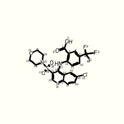 O=C(O)c1cc(C(F)(F)F)ccc1Nc1c(S(=O)(=O)N2CCOCC2)cnc2ccc(Cl)cc12